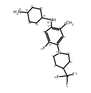 Cc1cc(N2CCC(C(F)(F)F)CC2)c(F)cc1NC1CCC(N)CC1